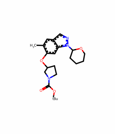 Cc1cc2cnn(C3CCCCO3)c2cc1OC1CCN(C(=O)OC(C)(C)C)C1